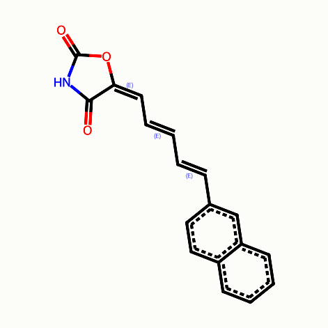 O=C1NC(=O)\C(=C/C=C/C=C/c2ccc3ccccc3c2)O1